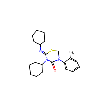 Cc1ccccc1N1CSC(=NC2CCCCC2)N(C2CCCCC2)C1=O